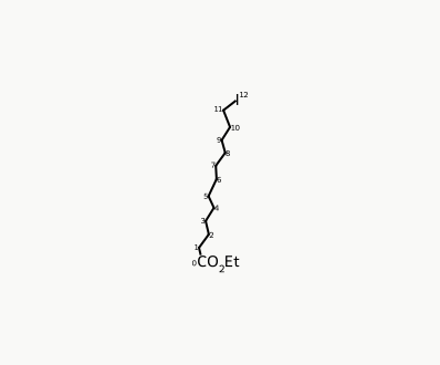 CCOC(=O)CCCCCCCCCCCI